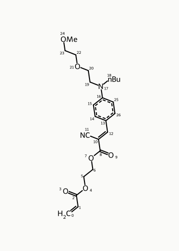 C=CC(=O)OCCOC(=O)/C(C#N)=C/c1ccc(N(CCCC)CCOCCOC)cc1